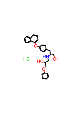 Cl.OC[C@H](Cc1ccc(Oc2cccc3ccccc23)cc1)NCC(O)COc1ccccc1